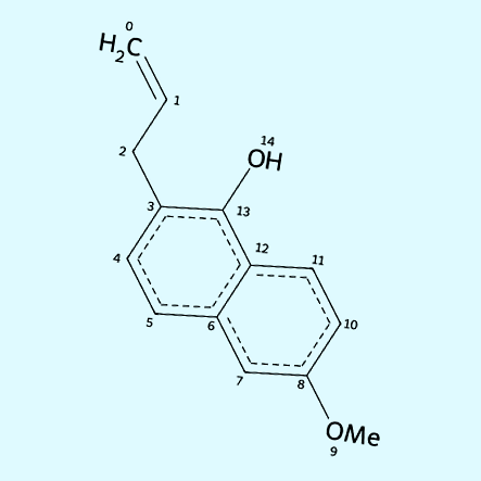 C=CCc1ccc2cc(OC)ccc2c1O